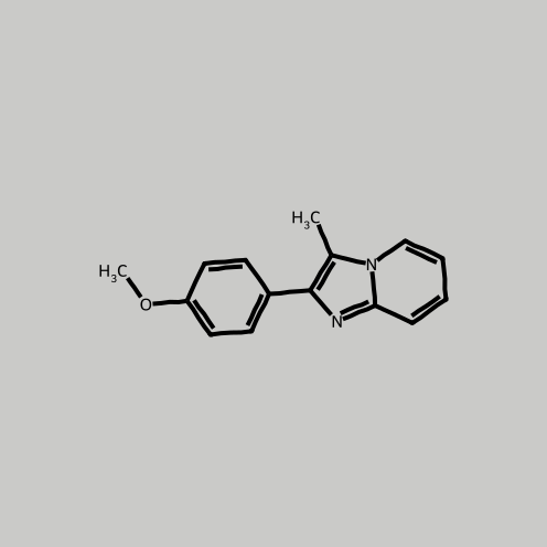 COc1ccc(-c2nc3ccccn3c2C)cc1